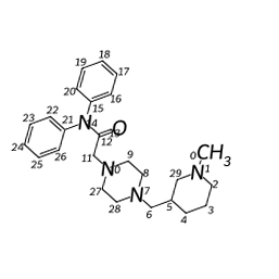 CN1CCCC(CN2CCN(CC(=O)N(c3ccccc3)c3ccccc3)CC2)C1